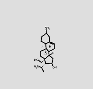 CC(N)[C@H]1C(O)C[C@H]2[C@@H]3CC=C4CC(N)CC[C@]4(C)[C@H]3CC[C@]12CO